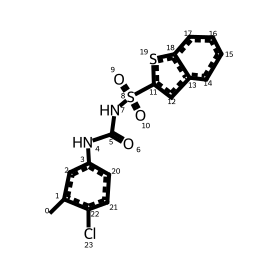 Cc1cc(NC(=O)NS(=O)(=O)c2cc3ccccc3s2)ccc1Cl